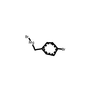 [Br][Mg][CH2]c1ccc(Br)cc1